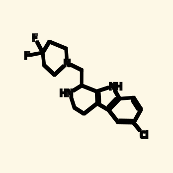 FC1(F)CCN(CC2NCCc3c2[nH]c2ccc(Cl)cc32)CC1